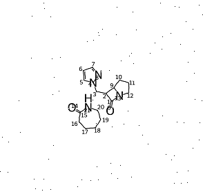 O=C1C(Cn2cccn2)C2CCCN12.O=C1CCCCCN1